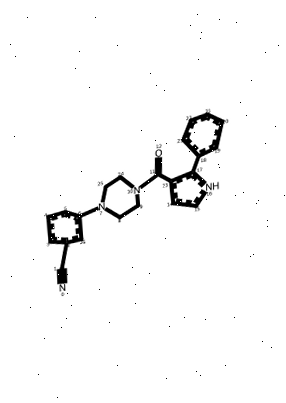 N#Cc1cccc(N2CCN(C(=O)c3cc[nH]c3-c3ccccc3)CC2)c1